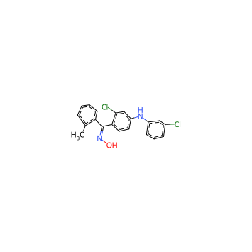 Cc1ccccc1C(=NO)c1ccc(Nc2cccc(Cl)c2)cc1Cl